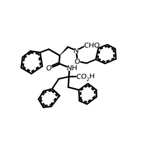 O=CN(C[C@H](Cc1ccccc1)C(=O)NC(Cc1ccccc1)(Cc1ccccc1)C(=O)O)OCc1ccccc1